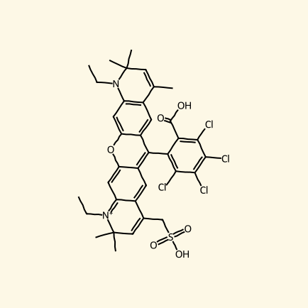 CCN1c2cc3c(cc2C(C)=CC1(C)C)C(c1c(Cl)c(Cl)c(Cl)c(Cl)c1C(=O)O)=c1cc2c(cc1O3)=[N+](CC)C(C)(C)C=C2CS(=O)(=O)O